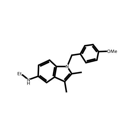 CCNc1ccc2c(c1)c(C)c(C)n2Cc1ccc(OC)cc1